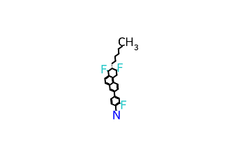 CCCCCCC[C@H]1C(F)c2ccc3cc(-c4ccc(C#N)c(F)c4)ccc3c2C[C@@H]1F